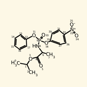 CC(C)OC(=O)C(C)NP(=O)(Oc1ccccc1)Oc1ccc([N+](=O)[O-])cc1